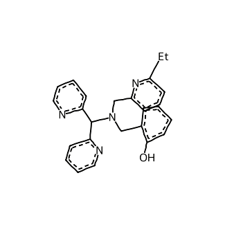 CCc1cccc(CN(Cc2ccccc2O)C(c2ccccn2)c2ccccn2)n1